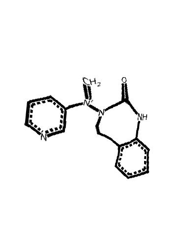 C=[N+](c1cccnc1)N1Cc2ccccc2NC1=O